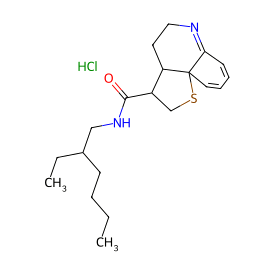 CCCCC(CC)CNC(=O)C1CSC23C=CC=CC2=NCCC13.Cl